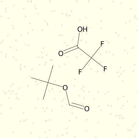 CC(C)(C)OC=O.O=C(O)C(F)(F)F